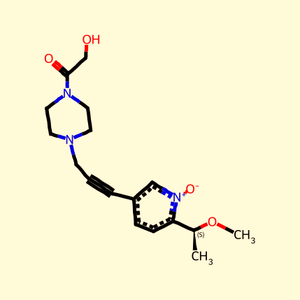 CO[C@@H](C)c1ccc(C#CCN2CCN(C(=O)CO)CC2)c[n+]1[O-]